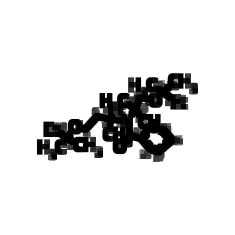 CCC(C)(C)OCCC(C)(CC)N(C(=O)c1ccccc1)C(C)(C)COC(C)(C)CC